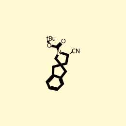 CC(C)(C)OC(=O)N1CC2(Cc3ccccc3C2)C[C@H]1C#N